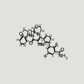 NC(=O)c1cc(F)cc(-c2cccc3c(N4CCOCC4)c(C(=O)NN4CCOc5ccccc54)cnc23)c1F